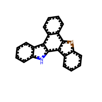 c1ccc2c(c1)[nH]c1c2c2ccccc2c2sc3ccccc3c12